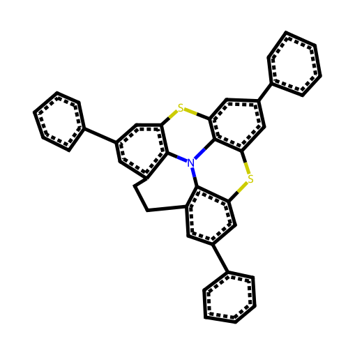 c1ccc(-c2cc3c4c(c2)Sc2cc(-c5ccccc5)cc5c2N4c2c(cc(-c4ccccc4)cc2S5)CC3)cc1